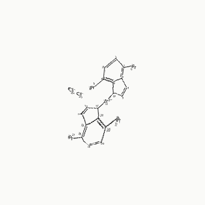 CC(C)c1ccc(C(C)C)c2c1C=C[CH]2[Zr+2][CH]1C=Cc2c(C(C)C)ccc(C(C)C)c21.[Cl-].[Cl-]